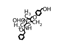 C=C1SC(C(C)NC(=O)Cc2ccccc2)N(C=O)C(C)=C1COc1ccc(CO)cc1